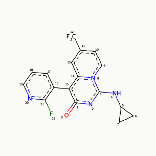 O=c1nc(NC2CC2)n2ccc(C(F)(F)F)cc2c1-c1cccnc1F